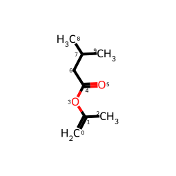 C=C(C)OC(=O)CC(C)C